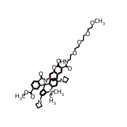 COCCOCCOCCOCCNC(=O)c1cc2ccc(N3C(=O)c4ccc(C(=O)OC)cc4C34c3ccc(N5CCC5)cc3S(C)(C)c3cc(N5CCC5)ccc34)cc2oc1=O